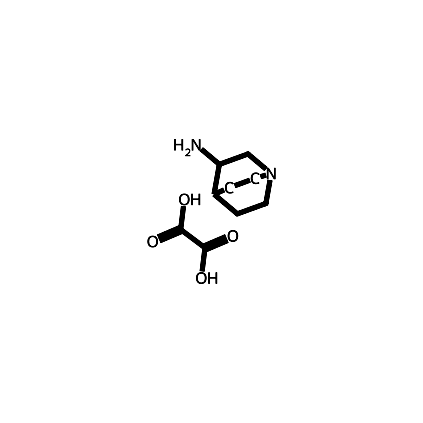 NC1CN2CCC1CC2.O=C(O)C(=O)O